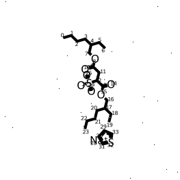 CCCCC(CC)COC(=O)CC(C(=O)OCC(CC)CCCC)S(=O)(=O)[O-].[Na+].c1ccsc1